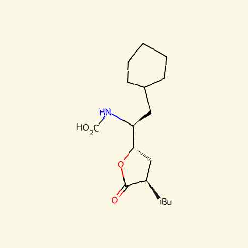 CCC(C)[C@@H]1C[C@@H]([C@H](CC2CCCCC2)NC(=O)O)OC1=O